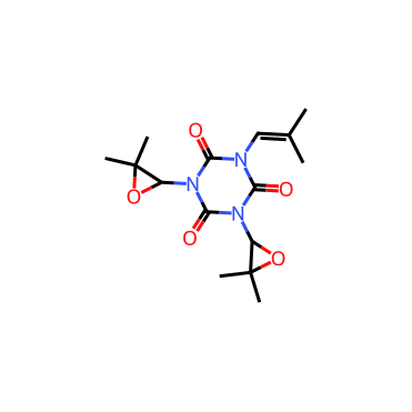 CC(C)=Cn1c(=O)n(C2OC2(C)C)c(=O)n(C2OC2(C)C)c1=O